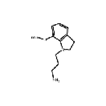 CCCCOc1cccc2c1N(CCCN)CC2